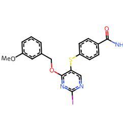 COc1cccc(COc2nc(I)ncc2Sc2ccc(C(N)=O)cc2)c1